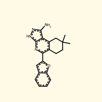 CC1(C)CCc2c(-c3cc4ccccc4o3)nc3[nH]nc(N)c3c2C1